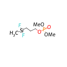 COP(=O)(OC)OCCC[Si](C)(F)F